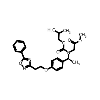 COC(=O)CN(C(=O)OCC(C)C)[C@@H](C)c1ccc(OCCc2noc(-c3ccccc3)n2)cc1